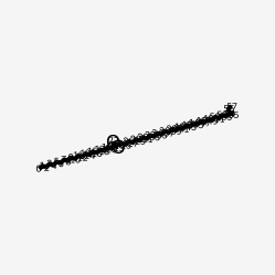 CCCCCCCCC=CCCCCCCCCCCCC(=O)OCCCCCCCCCCCCCCCCCCCCCCCCCCCCCCC(C)CC